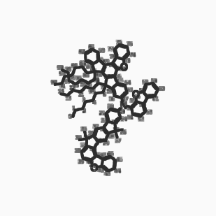 CCCCCCCC1(CCCCCCC)c2cc(N(c3ccc4c(c3)C(C)(C)c3cc5c(cc3-4)C(C)(C)c3ccc4oc6ccccc6c4c3-5)c3cccc4c3oc3ccccc34)ccc2-c2c1c1c(c3c2oc2ccccc23)-c2ccccc2C1(CCCCCCC)CCCCCCC